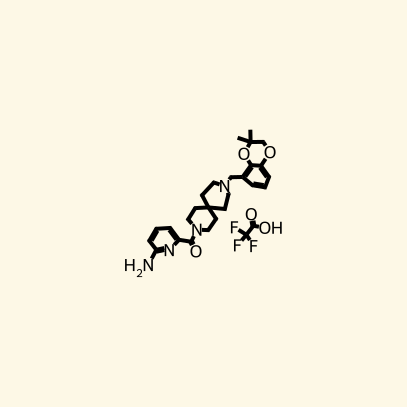 CC1(C)COc2cccc(CN3CCC4(CC3)CCN(C(=O)c3cccc(N)n3)CC4)c2O1.O=C(O)C(F)(F)F